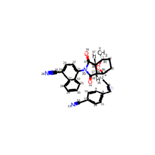 C[C@]12CC[C@](C/C=C\c3ccc(C#N)cc3)(O1)[C@@H]1C(=O)N(c3ccc(C#N)c4ccccc34)C(=O)[C@@H]12